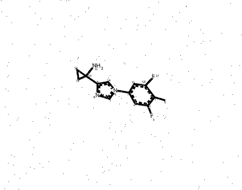 Cc1c(F)cc(-n2cnc(C3(N)CC3)c2)cc1F